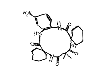 CC1(C)C(=O)NC2(CCCCC2)C(=O)Nc2ccc(N)cc2NC(=O)C2(CCCCC2)NC1=O